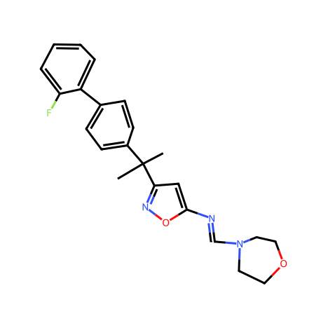 CC(C)(c1ccc(-c2ccccc2F)cc1)c1cc(N=[C]N2CCOCC2)on1